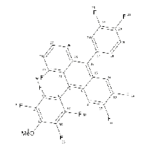 COc1c(F)c(F)c(-c2c3cc(F)c(F)cc3c(-c3ccc(F)c(F)c3)c3cccc(F)c23)c(F)c1F